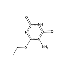 CCSc1nc(=O)[nH]c(=O)n1N